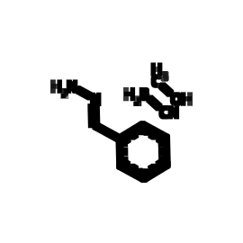 BC#N.CO.NN=Cc1ccccc1